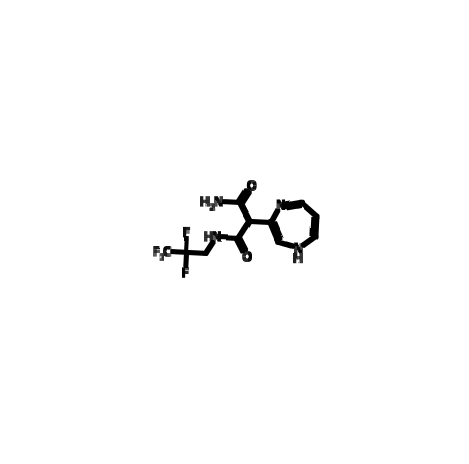 NC(=O)C(C(=O)NCC(F)(F)C(F)(F)F)C1=CNC=CC=N1